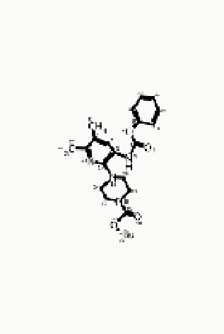 Cc1cc(NC(=O)Oc2ccccc2)c(N2CCN(C(=O)OC(C)(C)C)CC2)nc1C